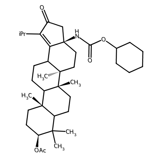 CC(=O)O[C@H]1CC[C@@]2(C)C(CC[C@]3(C)C2CCC2C4=C(C(C)C)C(=O)C[C@]4(NC(=O)OC4CCCCC4)CC[C@]23C)C1(C)C